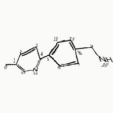 Cc1ccc(-c2ccc(CN)cc2)nc1